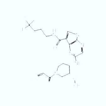 C=CC(=O)N1CC[C@H](Nc2cnc3[nH]cc(C(=O)NCCCC(F)(F)F)c3n2)[C@H](OC)C1